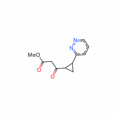 COC(=O)CC(=O)C1CC1c1cccnn1